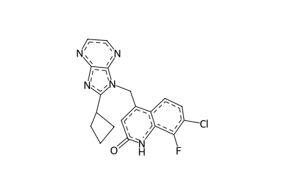 O=c1cc(Cn2c(C3CCC3)nc3nccnc32)c2ccc(Cl)c(F)c2[nH]1